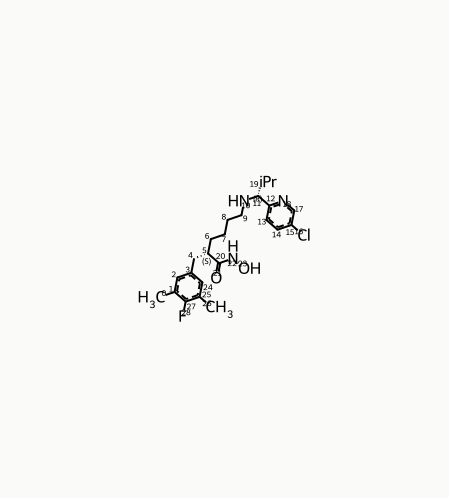 Cc1cc(C[C@H](CCCCN[C@@H](c2ccc(Cl)cn2)C(C)C)C(=O)NO)cc(C)c1F